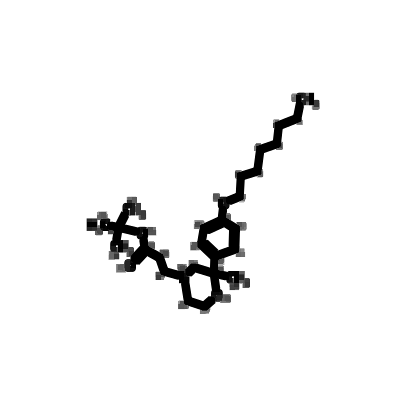 CCCCCCCCOc1ccc(C2(C)CN(CCC(=O)OC(C)(C)C)CCO2)cc1